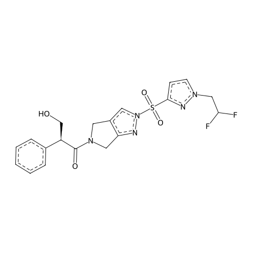 O=C([C@H](CO)c1ccccc1)N1Cc2cn(S(=O)(=O)c3ccn(CC(F)F)n3)nc2C1